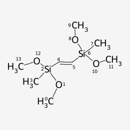 CO[Si](C)(/C=C/[Si](C)(OC)OC)OC